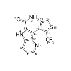 NC(=O)c1[nH]c2cccnc2c1-c1ccsc1C(F)(F)F